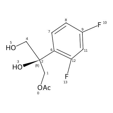 CC(=O)OC[C@](O)(CO)c1ccc(F)cc1F